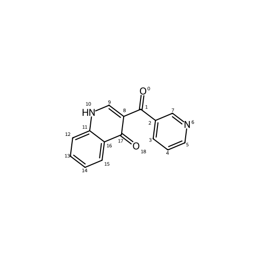 O=C(c1cccnc1)c1c[nH]c2ccccc2c1=O